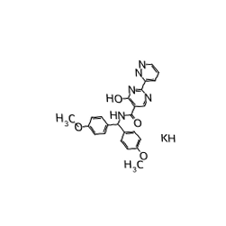 COc1ccc(C(NC(=O)c2cnc(-c3cccnn3)nc2O)c2ccc(OC)cc2)cc1.[KH]